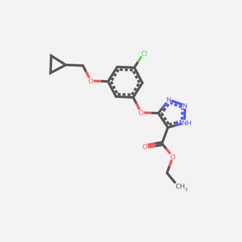 CCOC(=O)c1[nH]nnc1Oc1cc(Cl)cc(OCC2CC2)c1